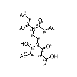 CC(=O)CC(=O)N(CCN(C(=O)CC(C)O)C(O)CC(C)=O)C(=O)CC(C)=O